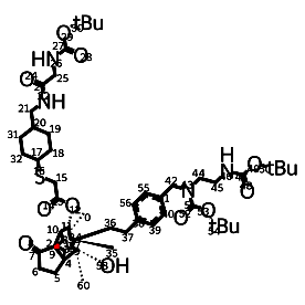 C[C@@H]1CC[C@@]23CCC(=O)C2C1[C@H](OC(=O)CSC1CCC(CNC(=O)CNC(=O)OC(C)(C)C)CC1)C[C@](C)(CCc1ccc(CN(CCNC(=O)OC(C)(C)C)C(=O)OC(C)(C)C)cc1)[C@@H](O)[C@@H]3C